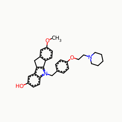 COc1ccc2c(c1)Cc1c-2n(Cc2ccc(OCCN3CCCCC3)cc2)c2ccc(O)cc12